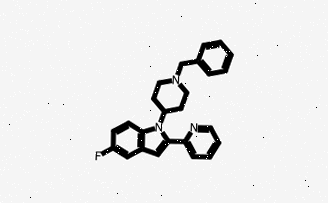 Fc1ccc2c(c1)cc(-c1ccccn1)n2C1CCN(Cc2ccccc2)CC1